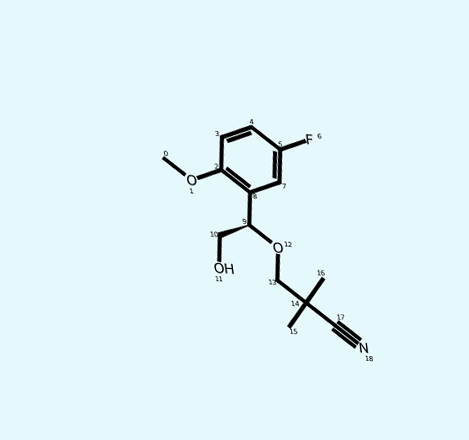 COc1ccc(F)cc1[C@H](CO)OCC(C)(C)C#N